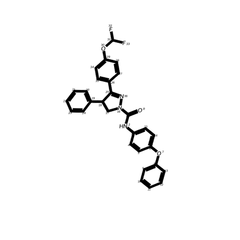 O=C(Nc1ccc(Oc2ccccc2)cc1)N1CC(c2ccccc2)C(c2ccc(OC(F)F)cc2)=N1